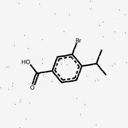 CC(C)c1ccc(C(=O)O)cc1Br